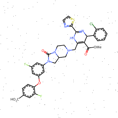 COC(=O)C1=C(CN2CCN3C(=O)N(c4cc(F)cc(Oc5ccc(C(=O)O)cc5F)c4)CC3C2)NC(c2nccs2)=NC1c1ccccc1Cl